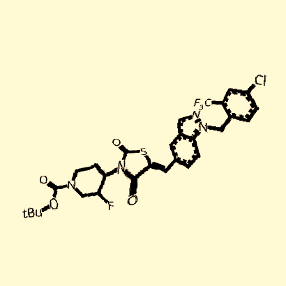 CC(C)(C)OC(=O)N1CCC(N2C(=O)SC(=Cc3ccc4c(cnn4Cc4ccc(Cl)cc4C(F)(F)F)c3)C2=O)C(F)C1